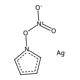 O=[N+]([O-])On1cccc1.[Ag]